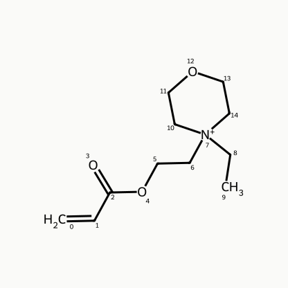 C=CC(=O)OCC[N+]1(CC)CCOCC1